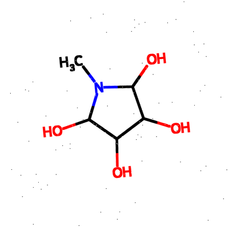 CN1C(O)C(O)C(O)C1O